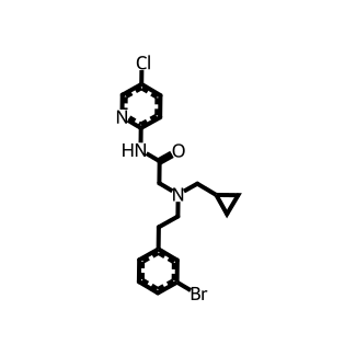 O=C(CN(CCc1cccc(Br)c1)CC1CC1)Nc1ccc(Cl)cn1